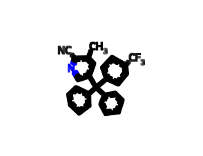 Cc1cc(C(c2ccccc2)(c2ccccc2)c2ccc(C(F)(F)F)cc2)cnc1C#N